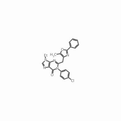 CCn1cnc2c(=O)n(-c3ccc(Cl)cc3)c(Cc3nc(-c4ccccc4)oc3C)nc21